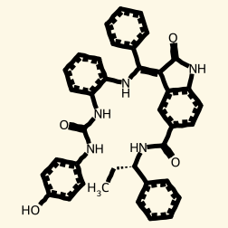 CC[C@H](NC(=O)c1ccc2c(c1)C(=C(Nc1ccccc1NC(=O)Nc1ccc(O)cc1)c1ccccc1)C(=O)N2)c1ccccc1